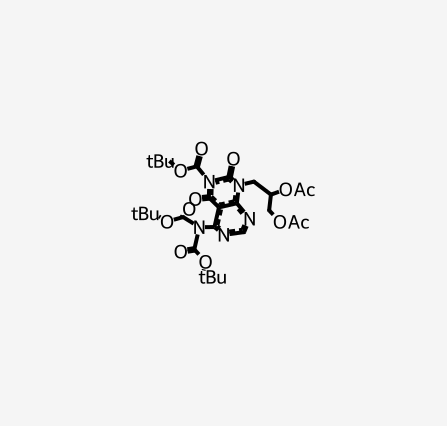 CC(=O)OCC(Cn1c(=O)n(C(=O)OC(C)(C)C)c(=O)c2c(N(C(=O)OC(C)(C)C)C(=O)OC(C)(C)C)ncnc21)OC(C)=O